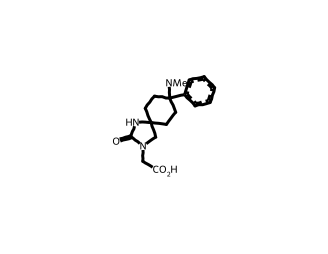 CNC1(c2ccccc2)CCC2(CC1)CN(CC(=O)O)C(=O)N2